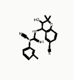 Cc1cccc(N(C#N)C(=N)NC2c3cc(C#N)ccc3OC(C)(C)C2O)c1